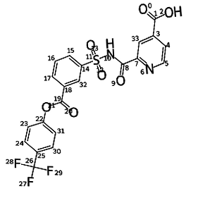 O=C(O)c1ccnc(C(=O)NS(=O)(=O)c2cccc(C(=O)Oc3ccc(C(F)(F)F)cc3)c2)c1